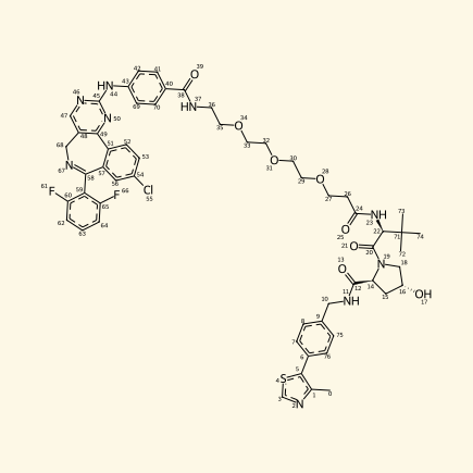 Cc1ncsc1-c1ccc(CNC(=O)[C@@H]2C[C@@H](O)CN2C(=O)[C@@H](NC(=O)CCOCCOCCOCCNC(=O)c2ccc(Nc3ncc4c(n3)-c3ccc(Cl)cc3C(c3c(F)cccc3F)=NC4)cc2)C(C)(C)C)cc1